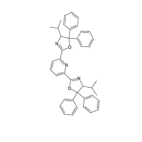 CC(C)C1N=C(c2cccc(C3=NC(C(C)C)C(c4ccccc4)(c4ccccc4)O3)n2)OC1(c1ccccc1)c1ccccc1